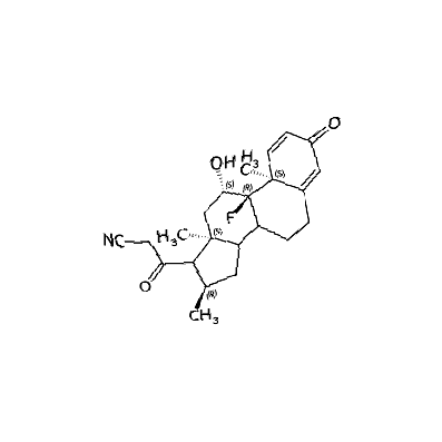 C[C@@H]1CC2C3CCC4=CC(=O)C=C[C@]4(C)[C@@]3(F)[C@@H](O)C[C@]2(C)C1C(=O)CC#N